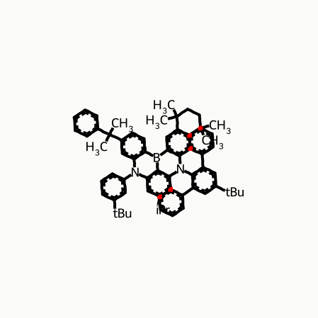 CC(C)c1cc2c3c(c1)N(c1c(-c4ccccc4)cc(C(C)(C)C)cc1-c1ccccc1)c1cc4c(cc1B3c1ccc(C(C)(C)c3ccccc3)cc1N2c1cccc(C(C)(C)C)c1)C(C)(C)CCC4(C)C